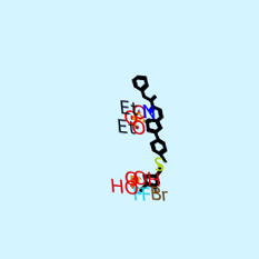 CCOP(=O)(OCC)c1cc(-c2ccc(CSCc3ccc(C(F)(F)P(=O)(O)O)c(Br)c3)cc2)cc2ccc(C(C)Cc3ccccc3)nc12